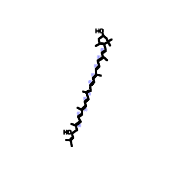 CC(C)=CC(O)C/C(C)=C/C=C/C(C)=C/C=C/C(C)=C/C=C/C=C(C)/C=C/C=C(C)/C=C/C1=C(C)CC(O)CC1(C)C